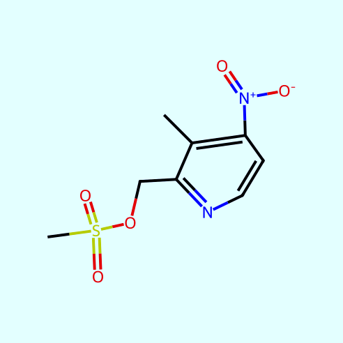 Cc1c([N+](=O)[O-])ccnc1COS(C)(=O)=O